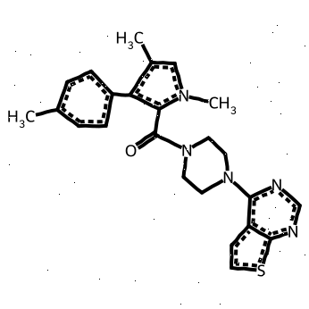 Cc1ccc(-c2c(C)cn(C)c2C(=O)N2CCN(c3ncnc4sccc34)CC2)cc1